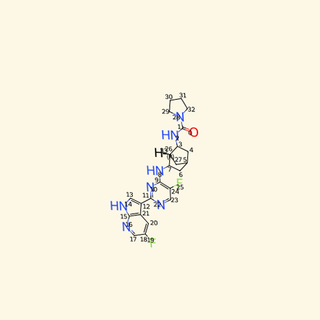 O=C(NC1CC2CC(Nc3nc(-c4c[nH]c5ncc(F)cc45)ncc3F)[C@H]1C2)N1CCCC1